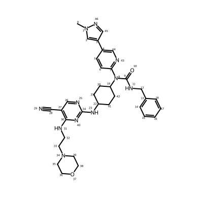 Cn1cc(-c2ccc(N(C(=O)NCc3ccccc3)C3CCC(Nc4ncc(C#N)c(NCCN5CCOCC5)n4)CC3)nc2)cn1